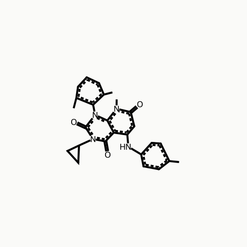 Cc1ccc(Nc2cc(=O)n(C)c3c2c(=O)n(C2CC2)c(=O)n3-c2c(C)cccc2C)cc1